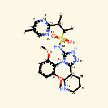 COc1cccc(OC)c1-n1c(NS(=O)(=O)C(C)C(C)c2ncc(C)cn2)nnc1[C@H]1CCCNC1